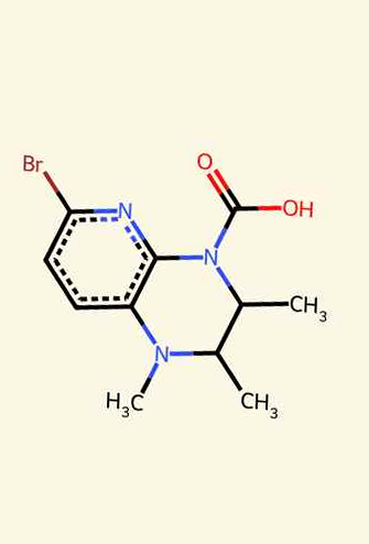 CC1C(C)N(C(=O)O)c2nc(Br)ccc2N1C